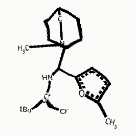 Cc1ccc(C(N[S+]([O-])C(C)(C)C)C23CCC(CC2)CN3C)o1